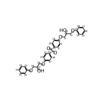 O=S(=O)(c1ccc(OCC(O)COc2ccccc2)cc1)c1ccc(OCC(O)COc2ccccc2)cc1